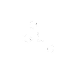 O=C(NCc1ccccc1F)NC(c1ccc(C(F)(F)F)cc1)c1ncccc1C(F)(F)F